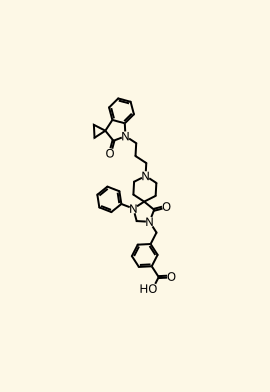 O=C(O)c1cccc(CN2CN(c3ccccc3)C3(CCN(CCCN4C(=O)C5(CC5)c5ccccc54)CC3)C2=O)c1